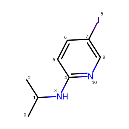 CC(C)Nc1ccc(I)cn1